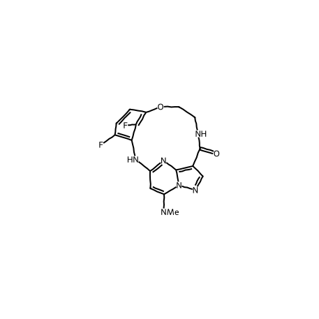 CNc1cc2nc3c(cnn13)C(=O)NCCOc1ccc(F)c(c1F)N2